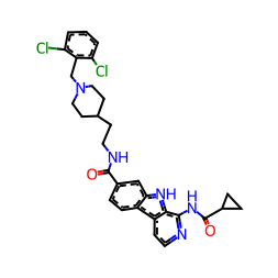 O=C(NCCC1CCN(Cc2c(Cl)cccc2Cl)CC1)c1ccc2c(c1)[nH]c1c(NC(=O)C3CC3)nccc12